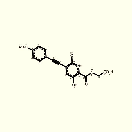 COc1ccc(C#Cc2cc(O)c(C(=O)NCC(=O)O)nc2Cl)cc1